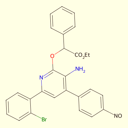 CCOC(=O)C(Oc1nc(-c2ccccc2Br)cc(-c2ccc(N=O)cc2)c1N)c1ccccc1